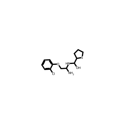 NC(COc1ccccc1Cl)NC(O)C1CCCS1